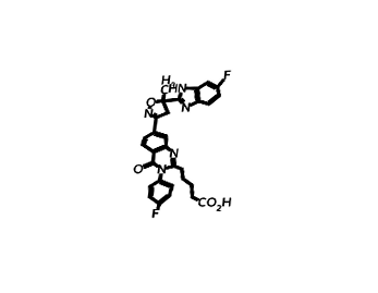 CC1(c2nc3ccc(F)cc3[nH]2)CC(c2ccc3c(=O)n(-c4ccc(F)cc4)c(CCCCC(=O)O)nc3c2)=NO1